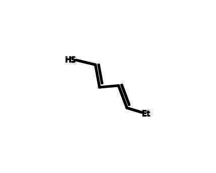 CCC=CC=CS